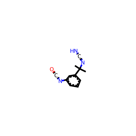 CC(C)(N=C=N)c1cccc(N=C=O)c1